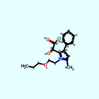 CCCOCCn1c(C)cc(-c2ccccc2)c1C(=O)C(=O)Cl